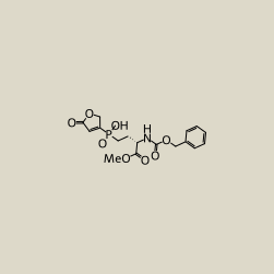 COC(=O)[C@H](CCP(=O)(O)C1=CC(=O)OC1)NC(=O)OCc1ccccc1